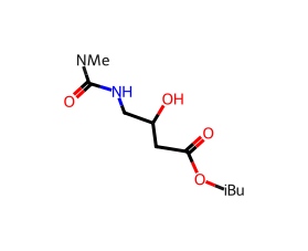 CCC(C)OC(=O)CC(O)CNC(=O)NC